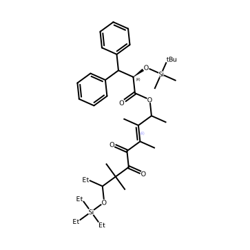 CCC(O[Si](CC)(CC)CC)C(C)(C)C(=O)C(=O)/C(C)=C(\C)C(C)OC(=O)[C@H](O[Si](C)(C)C(C)(C)C)C(c1ccccc1)c1ccccc1